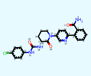 NC(=O)c1ccccc1-c1ccc(N2CCC[C@@H](NC(=O)Nc3ccc(Cl)cc3)C2=O)cn1